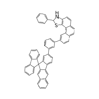 c1ccc(C2Nc3ccc4ccc5ccc(-c6cccc(-c7ccc8c(c7)C7(c9ccccc9-c9ccccc97)c7cc9ccccc9cc7-8)c6)cc5c4c3S2)cc1